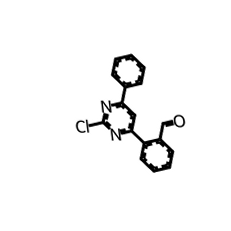 O=Cc1ccccc1-c1cc(-c2ccccc2)nc(Cl)n1